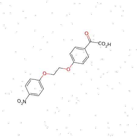 O=C(O)C(=O)c1ccc(OCCOc2ccc([N+](=O)[O-])cc2)cc1